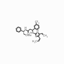 C=Cc1[nH]c(NC(CC(=O)N[C@@H](COC)c2ccccc2)c2cccc(C(F)(F)F)c2)nc1/C=C\C